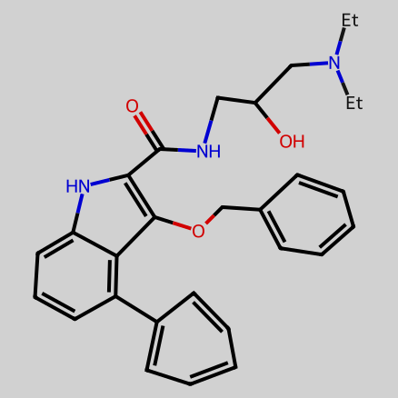 CCN(CC)CC(O)CNC(=O)c1[nH]c2cccc(-c3ccccc3)c2c1OCc1ccccc1